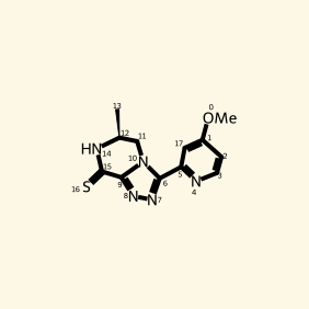 COc1ccnc(-c2nnc3n2C[C@H](C)NC3=S)c1